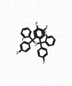 Fc1ccc(C(SC(c2ccc(F)cc2)(c2ccc(F)cc2)c2ccccc2F)(c2ccc(F)cc2)c2ccccc2F)cc1